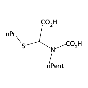 CCCCCN(C(=O)O)C(SCCC)C(=O)O